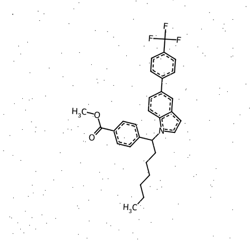 CCCCCCC(c1ccc(C(=O)OC)cc1)n1ccc2cc(-c3ccc(C(F)(F)F)cc3)ccc21